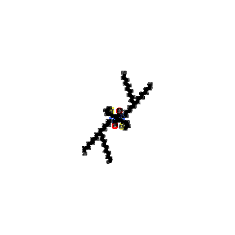 CCCCCCCCCCC(CCCCCCCC)CCCCCN1C(=O)C2=C(c3cccs3)N(CCCCCC(CCCCCCCC)CCCCCCCCCC)C(=O)C2=C1c1cccs1